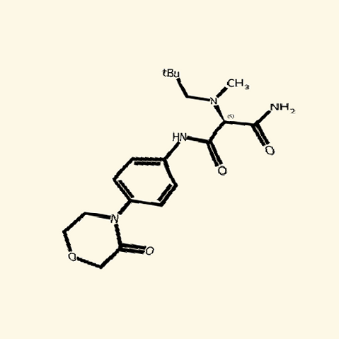 CN(CC(C)(C)C)[C@@H](C(N)=O)C(=O)Nc1ccc(N2CCOCC2=O)cc1